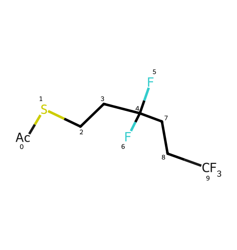 CC(=O)SCCC(F)(F)CCC(F)(F)F